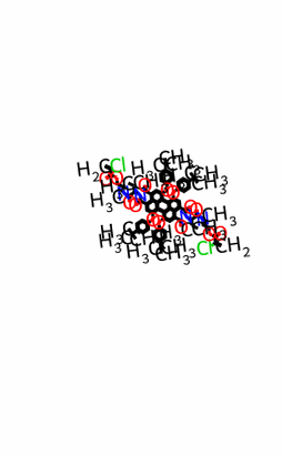 C=C(Cl)C(=O)OCCN(C)C(=O)C(C(C)C)N1C(=O)c2cc(Oc3ccc(C(C)(C)C)cc3)c3c4c(Oc5ccc(C(C)(C)C)cc5)cc5c6c(cc(Oc7ccc(C(C)(C)C)cc7)c(c7c(Oc8ccc(C(C)(C)C)cc8)cc(c2c37)C1=O)c64)C(=O)N(C(C(=O)N(C)CCOC(=O)C(=C)Cl)C(C)C)C5=O